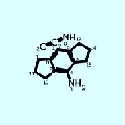 N=C=O.Nc1c2c(cc3c1CCC3)CCC2